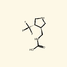 O=C(O)NC[C@@H]1CNC[C@H]1C(F)(F)F